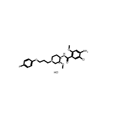 COc1cc(N)c(Cl)cc1C(=O)N[C@@H]1CCN(CCCOc2ccc(F)cc2)C[C@@H]1OC.Cl